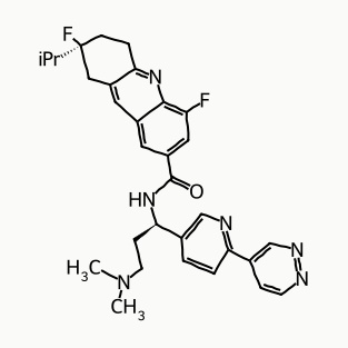 CC(C)[C@]1(F)CCc2nc3c(F)cc(C(=O)N[C@H](CCN(C)C)c4ccc(-c5ccnnc5)nc4)cc3cc2C1